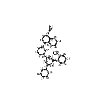 N#Cc1ccc(-c2cccc(-c3nc(-c4ccccc4)nc(-c4ccccc4Cl)n3)c2)c2ccccc12